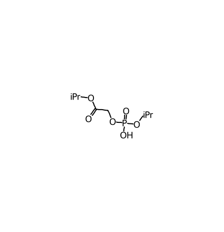 CC(C)OC(=O)COP(=O)(O)OC(C)C